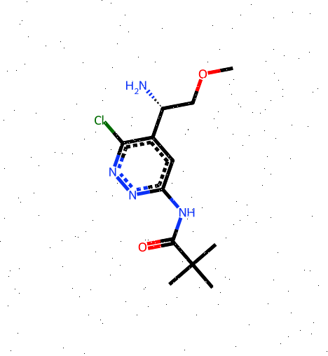 COC[C@@H](N)c1cc(NC(=O)C(C)(C)C)nnc1Cl